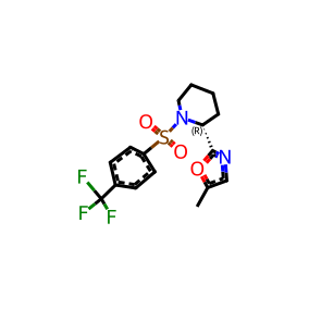 Cc1cnc([C@H]2CCCCN2S(=O)(=O)c2ccc(C(F)(F)F)cc2)o1